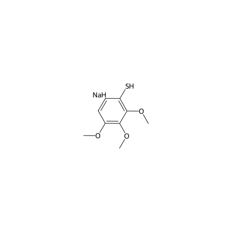 COc1ccc(S)c(OC)c1OC.[NaH]